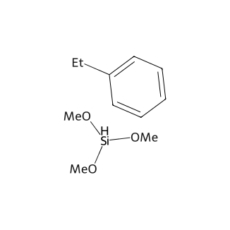 CCc1ccccc1.CO[SiH](OC)OC